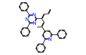 C=C/C=C(\C=C(/C)c1cc(-c2ccccc2)nc(-c2ccccc2)c1)c1nc(-c2ccccc2)nc(-c2ccccc2)n1